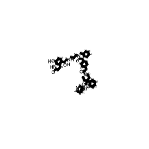 O=C(Cc1ccc(CC(=O)N(CCCNC[C@H](O)c2ccc(O)c3[nH]c(=O)ccc23)Cc2ccccc2)cc1)N1CCC(C(=O)O[C@H]2CN3CCC2CC3)(c2ccccc2)CC1